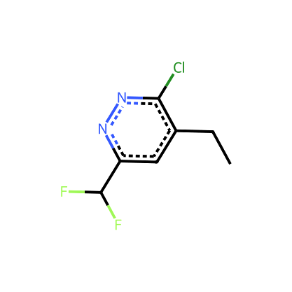 CCc1cc(C(F)F)nnc1Cl